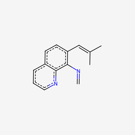 C=Nc1c(C=C(C)C)ccc2cccnc12